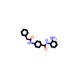 Nc1ccccc1NC(=O)c1ccc(NC(=O)Cc2ccccc2)cc1